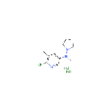 Cc1cc(N(C)N2CCCC2)cnc1Cl.Cl.Cl